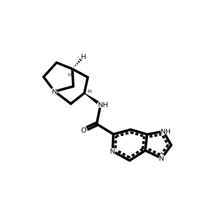 O=C(N[C@@H]1C[C@@H]2CCN(C2)C1)c1cc2[nH]cnc2cn1